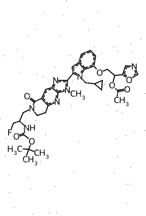 CC(=O)OC(COc1cccc2cc(-c3nc4cc5c(nc4n3C)CCN(CC(CF)NC(=O)OC(C)(C)C)C5=O)n(CC3CC3)c12)c1cnco1